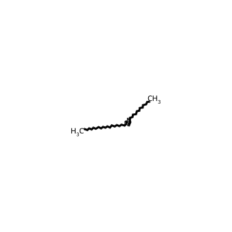 CCCCCCCCCCCCCCCCCCCN1C=CN(CCCCCCCCCCCCC)C1